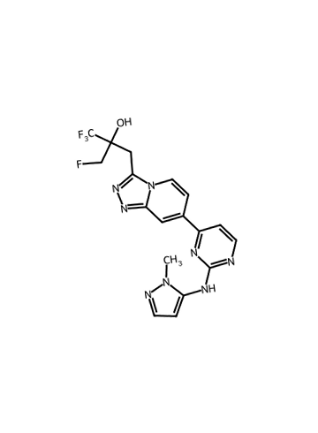 Cn1nccc1Nc1nccc(-c2ccn3c(CC(O)(CF)C(F)(F)F)nnc3c2)n1